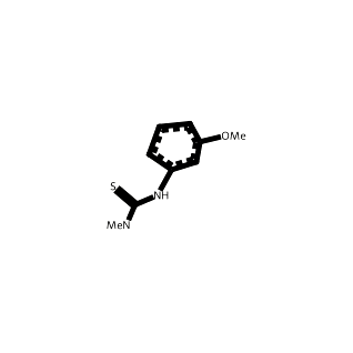 CNC(=S)Nc1cccc(OC)c1